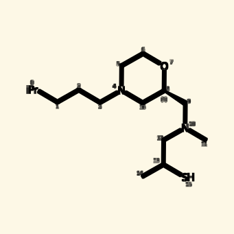 CC(C)CCCN1CCO[C@@H](CN(C)CC(C)S)C1